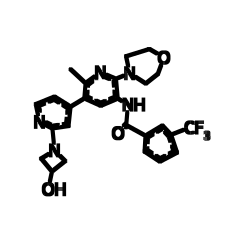 Cc1nc(N2CCOCC2)c(NC(=O)c2cccc(C(F)(F)F)c2)cc1-c1ccnc(N2CC(O)C2)c1